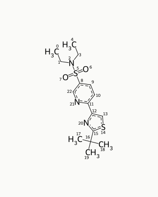 CCN(CC)S(=O)(=O)c1ccc(-c2csc(C(C)(C)C)n2)nc1